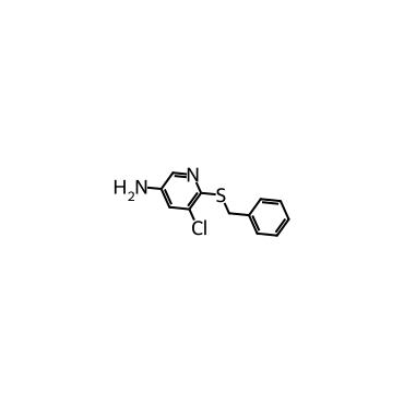 Nc1cnc(SCc2ccccc2)c(Cl)c1